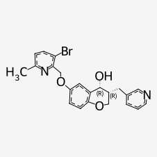 Cc1ccc(Br)c(COc2ccc3c(c2)[C@H](O)[C@H](Cc2cccnc2)CO3)n1